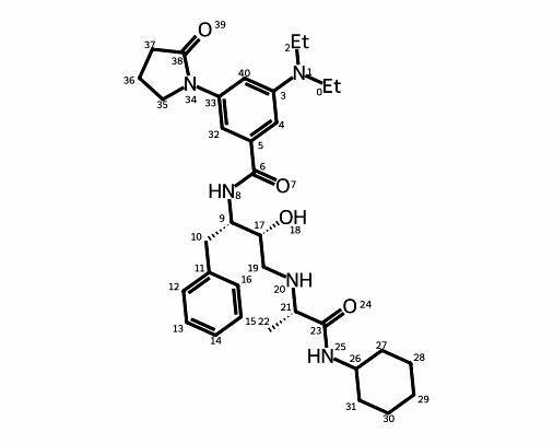 CCN(CC)c1cc(C(=O)N[C@@H](Cc2ccccc2)[C@H](O)CN[C@@H](C)C(=O)NC2CCCCC2)cc(N2CCCC2=O)c1